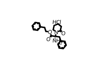 Cl.N[C@](Cc1ccccc1)(C(=O)OCCc1ccccc1)N1CCCCC1=O